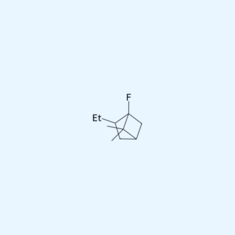 CCC1CC2CC1(F)C2(C)C